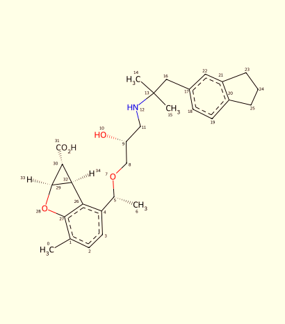 Cc1ccc([C@@H](C)OC[C@H](O)CNC(C)(C)Cc2ccc3c(c2)CCC3)c2c1O[C@H]1[C@H](C(=O)O)[C@@H]21